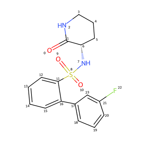 O=C1NCCC[C@@H]1NS(=O)(=O)c1ccccc1-c1cccc(F)c1